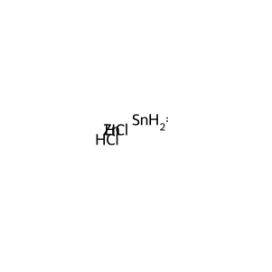 Cl.Cl.[SnH2].[Zn]